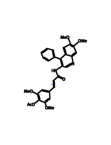 COc1cc2ncc(NC(=O)/C=C/c3cc(OC)c(OC(C)=O)c(OC)c3)c(-c3ccccc3)c2cc1OC